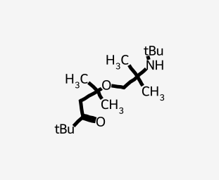 CC(C)(C)NC(C)(C)COC(C)(C)CC(=O)C(C)(C)C